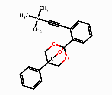 C[Si](C)(C)C#Cc1ccccc1C12OCC(c3ccccc3)(CO1)CO2